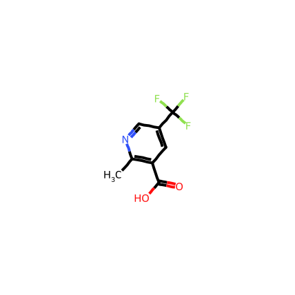 Cc1ncc(C(F)(F)F)cc1C(=O)O